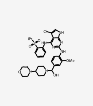 COc1cc(C(O)N2CCC(N3CCOCC3)CC2)ccc1Nc1nc(Nc2ccccc2S(=O)(=O)C(C)C)c2c(Cl)c[nH]c2n1